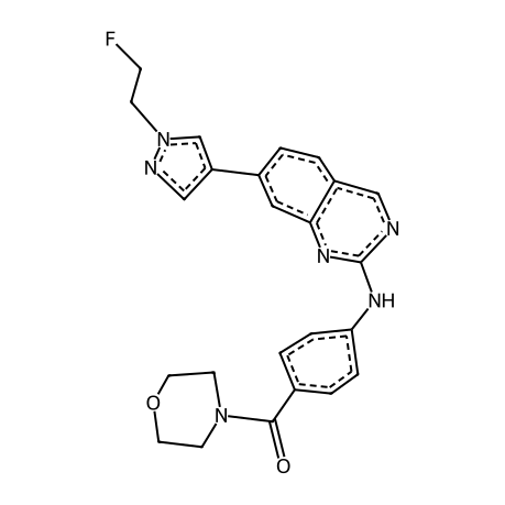 O=C(c1ccc(Nc2ncc3ccc(-c4cnn(CCF)c4)cc3n2)cc1)N1CCOCC1